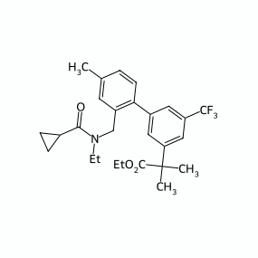 CCOC(=O)C(C)(C)c1cc(-c2ccc(C)cc2CN(CC)C(=O)C2CC2)cc(C(F)(F)F)c1